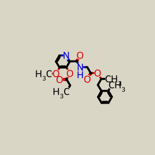 CCC(=O)Oc1c(OC)ccnc1C(=O)NCC(=O)OC(C)Cc1ccccc1C